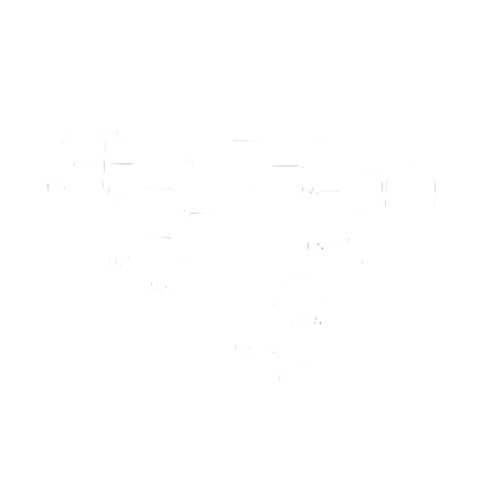 CCC(CC)N(Cc1cccc(C(=O)Nc2sc3c(c2C(=O)Nc2ccc(C4(C)CC4)nc2)CCCC3)c1)C(=O)CCC(C)(C)C(=O)O